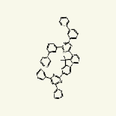 CC1(C)c2cc(-c3nc(-c4ccccc4)nc(-c4ccccc4)n3)ccc2-c2cccc(-c3nc(-c4cccc(-c5ccccc5)c4)nc(-c4cccc(-c5ccccc5)c4)n3)c21